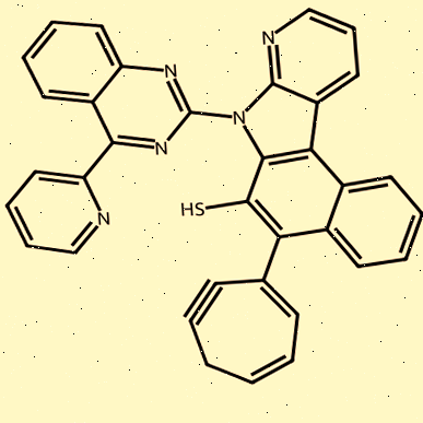 Sc1c(C2=CC=CCC#C2)c2ccccc2c2c3cccnc3n(-c3nc(-c4ccccn4)c4ccccc4n3)c12